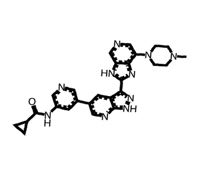 CN1CCN(c2cncc3[nH]c(-c4n[nH]c5ncc(-c6cncc(NC(=O)C7CC7)c6)cc45)nc23)CC1